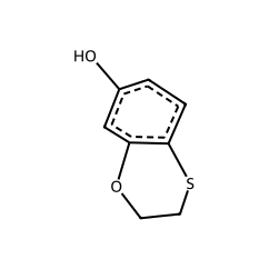 Oc1ccc2c(c1)OCCS2